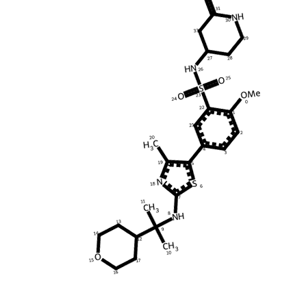 COc1ccc(-c2sc(NC(C)(C)C3CCOCC3)nc2C)cc1S(=O)(=O)NC1CCNC(=O)C1